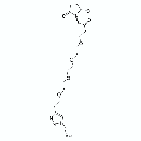 CC(C)(C)Cn1cc(CCOCCOCCOCCOCCC(=O)ON2C(=O)CCC2=O)nn1